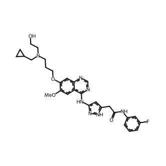 COc1cc2c(Nc3cc(CC(=O)Nc4cccc(F)c4)[nH]n3)ncnc2cc1OCCCN(CCO)CC1CC1